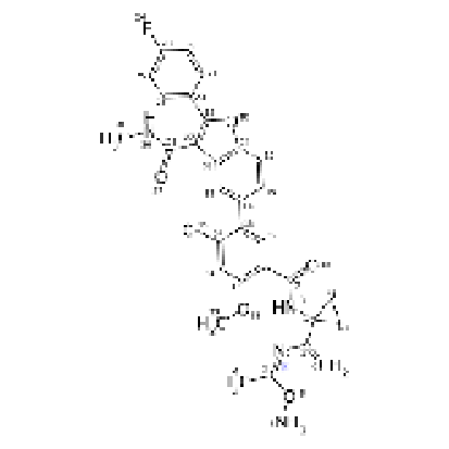 C=C(/N=C(/C)ON)C1(NC(=O)c2cc(-c3ccc4oc(-c5ccc(F)cc5)c(C(=O)NC)c4c3)c(Cl)cc2OC)CC1